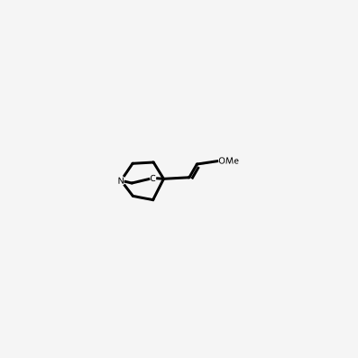 CO/C=C/C12CCN(CC1)CC2